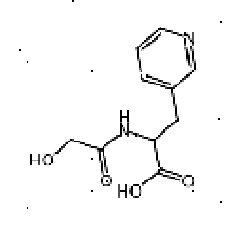 O=C(CO)NC(Cc1cccnc1)C(=O)O